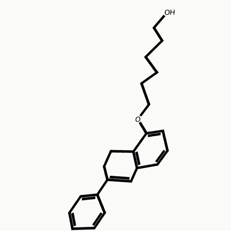 OCCCCCCOc1cccc2c1CCC(c1ccccc1)=C2